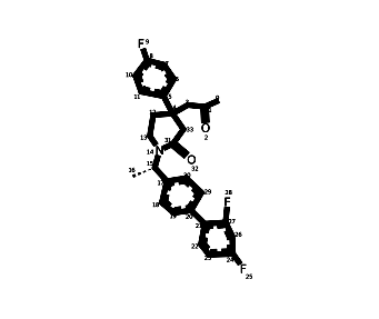 CC(=O)CC1(c2ccc(F)cc2)CCN([C@@H](C)c2ccc(-c3ccc(F)cc3F)cc2)C(=O)C1